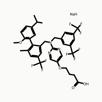 COc1ccc(C(C)C)cc1-c1c(C)cc(C(F)(F)F)cc1CN(Cc1cc(C(F)(F)F)cc(C(F)(F)F)c1)c1ncc(OCCCC(=O)O)cn1.[NaH]